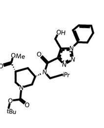 COC(=O)[C@@H]1C[C@H](N(CC(C)C)C(=O)c2nnn(C3=CC=CCC3)c2CO)CN(C(=O)OC(C)(C)C)C1